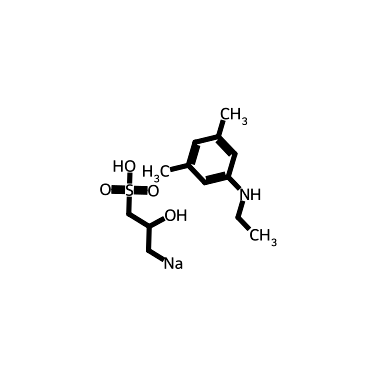 CCNc1cc(C)cc(C)c1.O=S(=O)(O)CC(O)[CH2][Na]